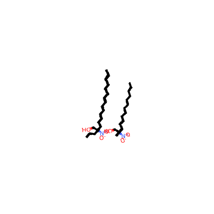 CCCCCCCCCCCCC(C)(CO)[N+](=O)[O-].CCCCCCCCCCCCCCC(CO)(CCC)[N+](=O)[O-]